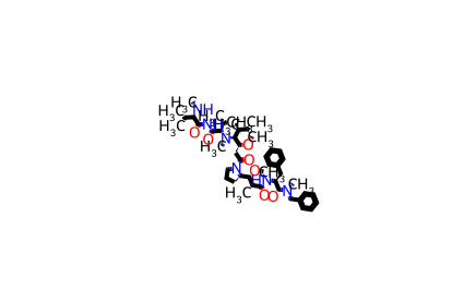 CC[C@H](C)[C@@H]([C@@H](CC(=O)N1CCC[C@H]1[C@H](OC)[C@@H](C)C(=O)N[C@@H](Cc1ccccc1)C(=O)N(C)Cc1ccccc1)OC)N(C)[C@H](C(=O)NC(=O)[C@@H](NC)C(C)C)C(C)C